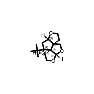 CC(C)(C)[C@]1(O)C[C@@H]2OCC[C@]23CO[C@@H]2OC[C@H](O)[C@@]231